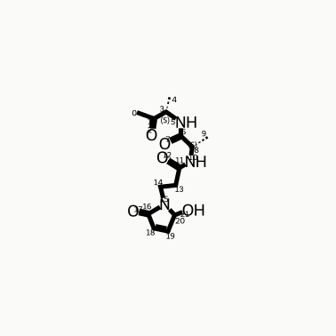 CC(=O)[C@H](C)NC(=O)[C@H](C)NC(=O)CCN1C(=O)C=CC1O